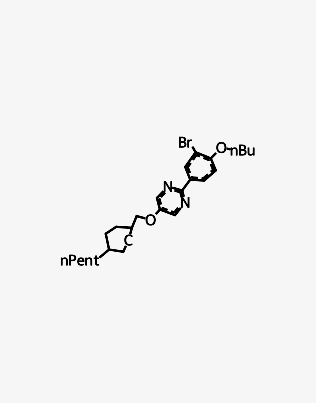 CCCCCC1CCC(COc2cnc(-c3ccc(OCCCC)c(Br)c3)nc2)CC1